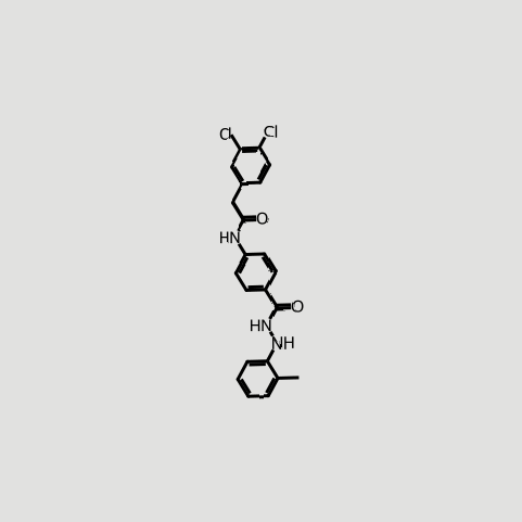 Cc1ccccc1NNC(=O)c1ccc(NC(=O)Cc2ccc(Cl)c(Cl)c2)cc1